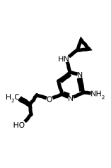 C=C(CO)COc1cc(NC2CC2)nc(N)n1